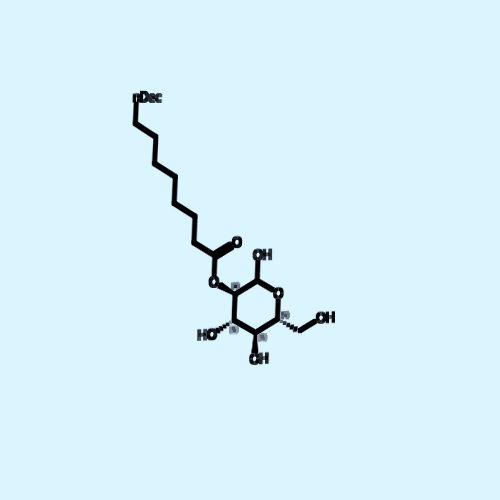 CCCCCCCCCCCCCCCCCC(=O)O[C@H]1C(O)O[C@H](CO)[C@@H](O)[C@@H]1O